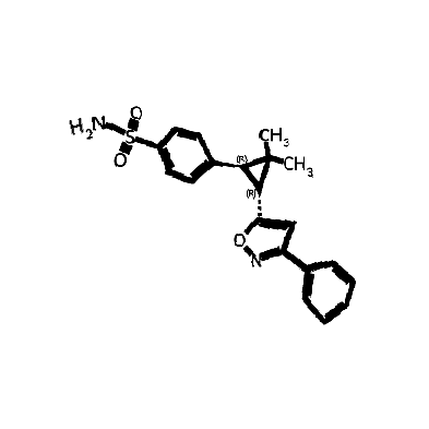 CC1(C)[C@H](c2ccc(S(N)(=O)=O)cc2)[C@H]1c1cc(-c2ccccc2)no1